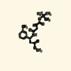 COC(=O)C[C@H](NC(=O)CNC(=O)OC(C)(C)C)c1cccc(C)c1